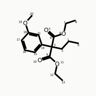 CCCC(C(=O)OCC)(C(=O)OCC)c1cccc(OC)c1